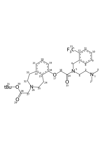 CN(C)CCN(Cc1ccccc1C(F)(F)F)C(=O)COc1cccc2c1CCN(CC(=O)OC(C)(C)C)CC2